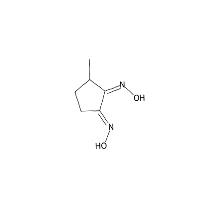 CC1CCC(=NO)C1=NO